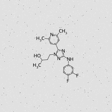 Cc1cc(-c2nc(Nc3ccc(F)c(F)c3)nn2CCC(C)O)cc(C)n1